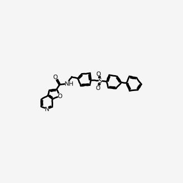 O=C(NCc1ccc(S(=O)(=O)c2ccc(-c3ccccc3)cc2)cc1)c1cc2ccncc2o1